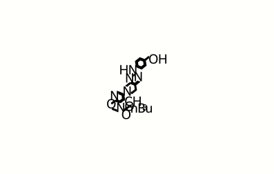 CCCCOC(=O)N1CCOc2ncc(N3CCc4cnc(Nc5ccc(CO)cc5)nc4C3)c(C)c21